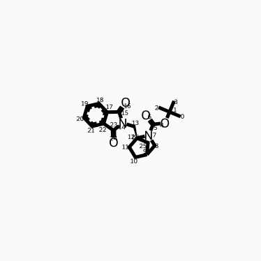 CC(C)(C)OC(=O)N1CC2CC[C@@]1(CN1C(=O)c3ccccc3C1=O)C2